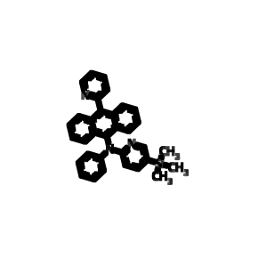 C[Si](C)(C)c1ccc(N(c2ccccc2)c2c3ccccc3c(-c3ccccn3)c3ccccc23)nc1